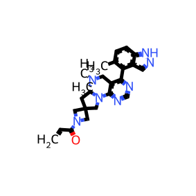 C=CC(=O)N1CC2(CCN(c3ncnc(-c4c(C)ccc5[nH]ncc45)c3CN(C)C)C2)C1